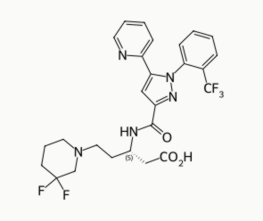 O=C(O)C[C@H](CCN1CCCC(F)(F)C1)NC(=O)c1cc(-c2ccccn2)n(-c2ccccc2C(F)(F)F)n1